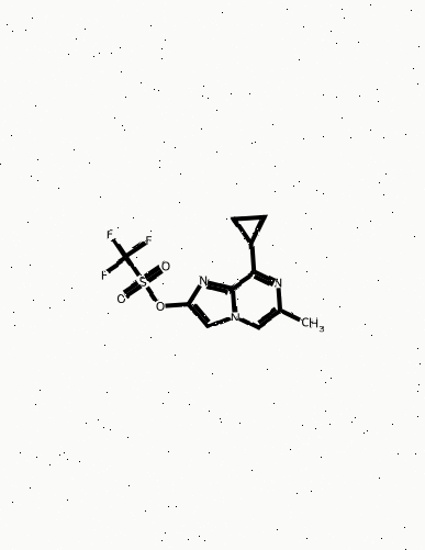 Cc1cn2cc(OS(=O)(=O)C(F)(F)F)nc2c(C2CC2)n1